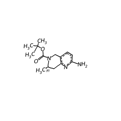 C[C@@H]1Cc2nc(N)ccc2CN1C(=O)OC(C)(C)C